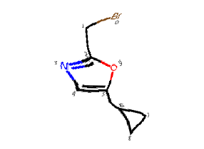 BrCc1ncc(C2CC2)o1